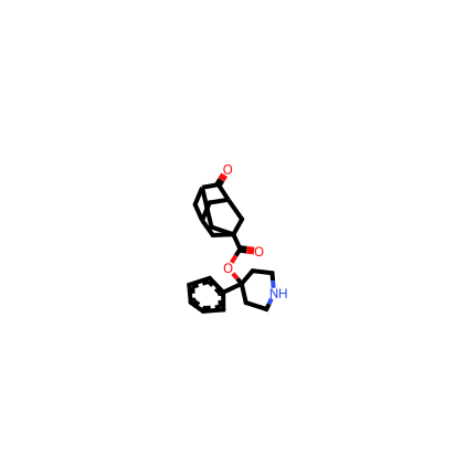 O=C1C2CC3CC1CC(C(=O)OC1(c4ccccc4)CCNCC1)(C3)C2